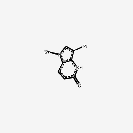 CC(C)c1cn(C(C)C)c2ccc(=O)[nH]c12